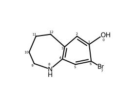 Oc1cc2c(cc1Br)NCCCC2